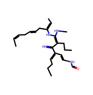 C/C=C\CC=CC/C(=C\C)N/C(NC)=C(/CCC)C(=N)C(/C=C/NC=O)=C/CCC